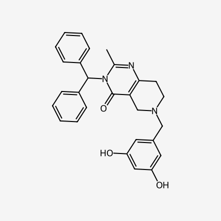 Cc1nc2c(c(=O)n1C(c1ccccc1)c1ccccc1)CN(Cc1cc(O)cc(O)c1)CC2